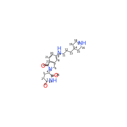 O=C1CCC(N2Cc3cc(NCCCC4CCNCC4)ccc3C2=O)C(=O)N1